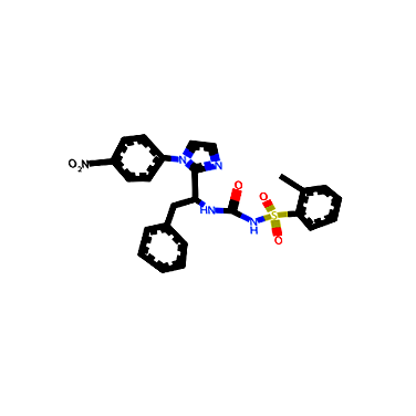 Cc1ccccc1S(=O)(=O)NC(=O)NC(Cc1ccccc1)c1nccn1-c1ccc([N+](=O)[O-])cc1